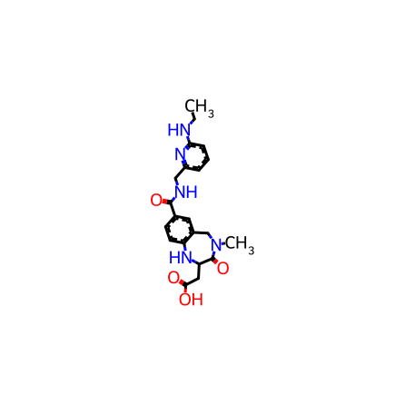 CCNc1cccc(CNC(=O)c2ccc3c(c2)CN(C)C(=O)C(CC(=O)O)N3)n1